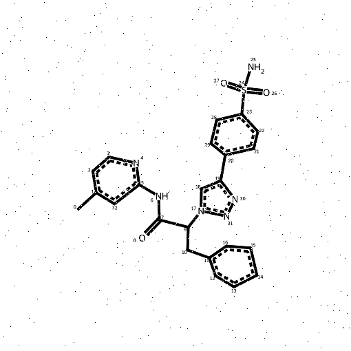 Cc1ccnc(NC(=O)C(Cc2ccccc2)n2cc(-c3ccc(S(N)(=O)=O)cc3)nn2)c1